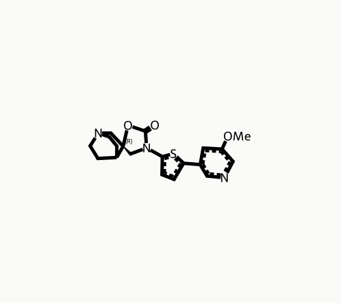 COc1cncc(-c2ccc(N3C[C@@]4(CN5CCC4CC5)OC3=O)s2)c1